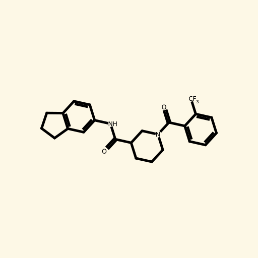 O=C(Nc1ccc2c(c1)CCC2)C1CCCN(C(=O)c2ccccc2C(F)(F)F)C1